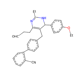 CCOc1ccc(C2NC(CC)=NC(CCC=O)=C2Cc2ccc(-c3ccccc3C#N)cc2)cc1